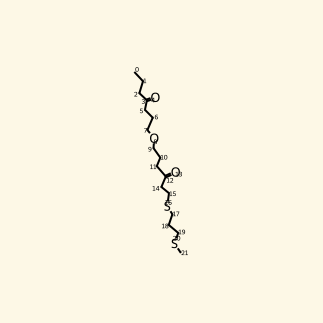 CCCC(=O)CCCOCCCC(=O)CCSCCCSC